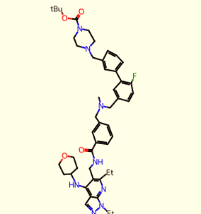 CCc1nc2c(cnn2CC)c(NC2CCOCC2)c1CNC(=O)c1cccc(CN(C)Cc2ccc(F)c(-c3cccc(CN4CCN(C(=O)OC(C)(C)C)CC4)c3)c2)c1